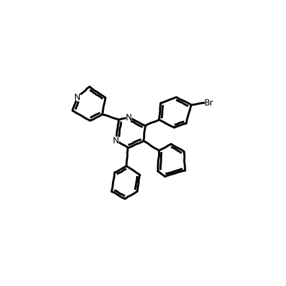 Brc1ccc(-c2nc(-c3ccncc3)nc(-c3ccccc3)c2-c2ccccc2)cc1